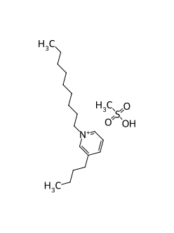 CCCCCCCCC[n+]1cccc(CCCC)c1.CS(=O)(=O)O